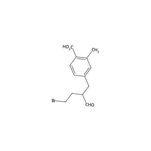 Cc1cc(CC(C=O)CCBr)ccc1C(=O)O